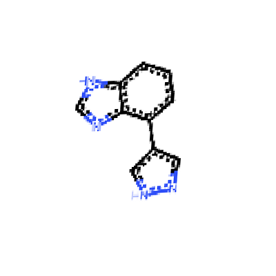 c1cc(-c2cn[nH]c2)c2nc[nH]c2c1